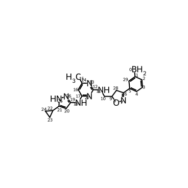 Bc1cccc(C2=NOC(CNc3nc(C)cc(Nc4cc(C5CC5)[nH]n4)n3)C2)c1